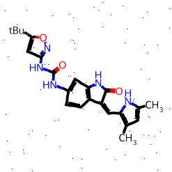 Cc1cc(C)c(/C=C2\C(=O)Nc3cc(NC(=O)Nc4cc(C(C)(C)C)on4)ccc32)[nH]1